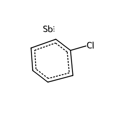 Clc1ccccc1.[Sb]